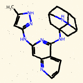 Cc1cc(Nc2cc3ncccc3c(NC34CC5CC(C3)NC(C5)C4)n2)n[nH]1